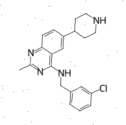 Cc1nc(NCc2cccc(Cl)c2)c2cc(C3CCNCC3)ccc2n1